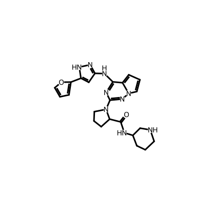 O=C(NC1CCCNC1)C1CCCN1c1nc(Nc2cc(-c3ccco3)[nH]n2)c2cccn2n1